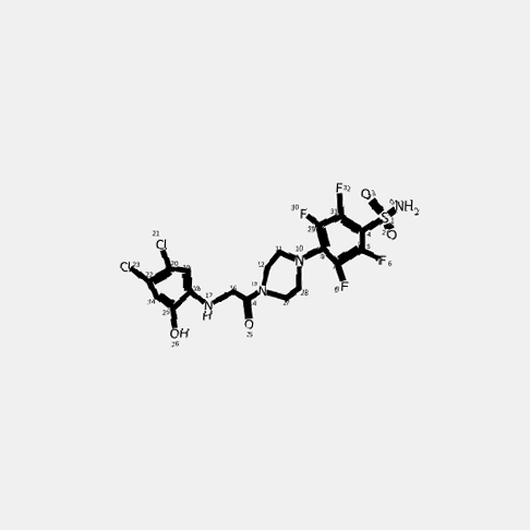 NS(=O)(=O)c1c(F)c(F)c(N2CCN(C(=O)CNc3cc(Cl)c(Cl)cc3O)CC2)c(F)c1F